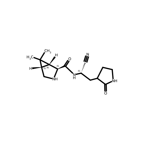 CC1(C)[C@@H]2[C@@H](C(=O)N[C@H](C#N)CC3CCNC3=O)NC[C@@H]21